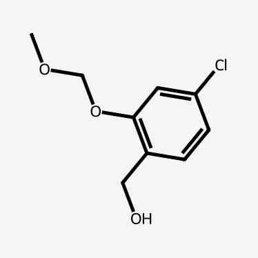 COCOc1cc(Cl)ccc1CO